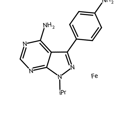 CC(C)n1nc(-c2ccc(N)cc2)c2c(N)ncnc21.[Fe]